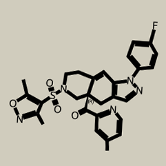 Cc1ccnc(C(=O)[C@]23Cc4cnn(-c5ccc(F)cc5)c4C=C2CCN(S(=O)(=O)c2c(C)noc2C)C3)c1